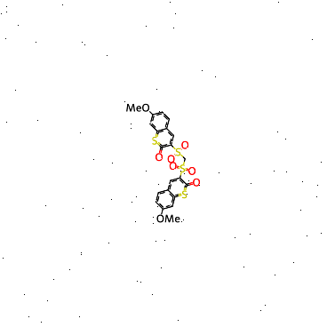 COc1ccc2cc(S(=O)(=O)CS(=O)(=O)c3cc4ccc(OC)cc4sc3=O)c(=O)sc2c1